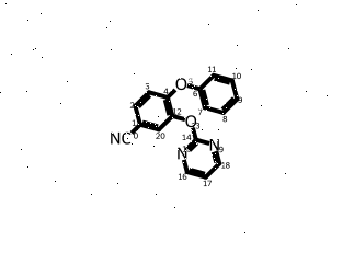 N#Cc1ccc(Oc2ccccc2)c(Oc2ncccn2)c1